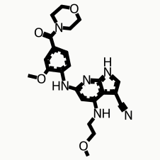 COCCNc1cc(Nc2ccc(C(=O)N3CCOCC3)cc2OC)nc2[nH]cc(C#N)c12